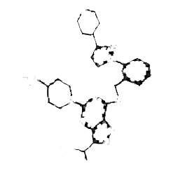 CC(C)c1[nH]nc2c(NCc3ccccc3-n3ccc(C4CCOCC4)n3)nc(N3CCC(N)CC3)nc12